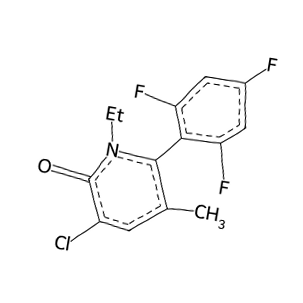 CCn1c(-c2c(F)cc(F)cc2F)c(C)cc(Cl)c1=O